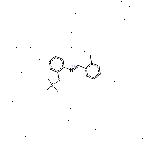 Cc1ccccc1/C=N/c1ccccc1S[Si](C)(C)C